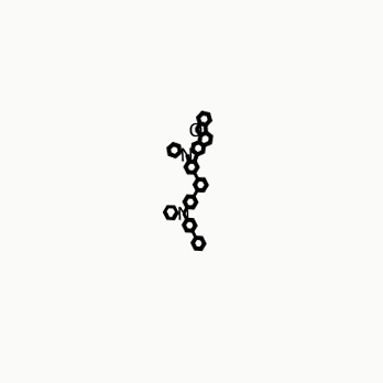 C1=CCCC(N(c2ccc(-c3ccccc3)cc2)c2ccc(-c3cccc(-c4ccc5c(c4)c4cc6ccc7c8ccccc8oc7c6cc4n5-c4ccccc4)c3)cc2)=C1